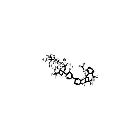 CC(C)(CC1(c2ncc(-c3ccc4nc5n(c4c3)[C@@H]3C[C@H]5NC(=O)c4cccc(OC(F)F)c43)cc2F)CC(C(F)(F)F)C1)[S@@+]([O-])NO[Si](C)(C)C(C)(C)C